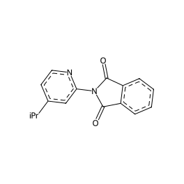 CC(C)c1ccnc(N2C(=O)c3ccccc3C2=O)c1